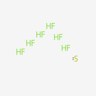 F.F.F.F.F.F.[S]